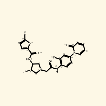 O=C(CN1C[C@@H](F)[C@@H](NC(=O)c2ccc(Cl)s2)C1)Nc1ccc(-n2ccccc2=O)cc1F